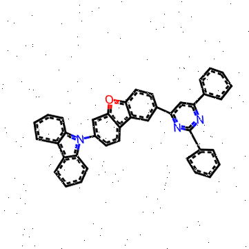 c1ccc(-c2cc(-c3ccc4oc5cc(-n6c7ccccc7c7ccccc76)ccc5c4c3)nc(-c3ccccc3)n2)cc1